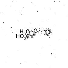 Cc1cc(OCCCCc2ccccc2)ccc1C(=O)O